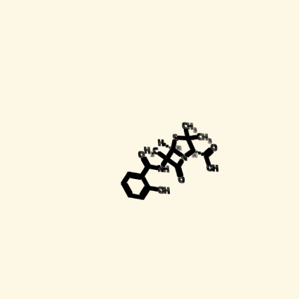 CC1(C)S[C@H]2N(C(=O)C2(C)NC(=O)c2ccccc2O)[C@H]1C(=O)O